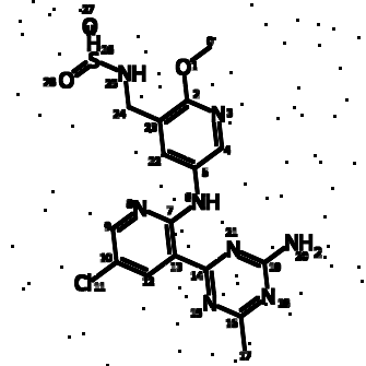 COc1ncc(Nc2ncc(Cl)cc2-c2nc(C)nc(N)n2)cc1CN[SH](=O)=O